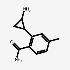 Cc1ccc(C(N)=O)c(C2CC2N)c1